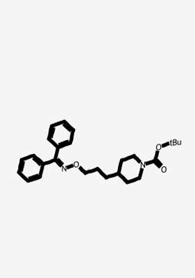 CC(C)(C)OC(=O)N1CCC(CCCON=C(c2ccccc2)c2ccccc2)CC1